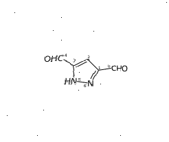 O=Cc1cc(C=O)[nH]n1